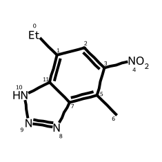 CCc1cc([N+](=O)[O-])c(C)c2nn[nH]c12